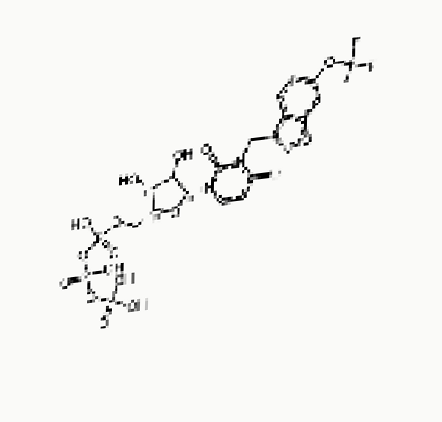 O=c1ccn([C@@H]2O[C@H](COP(=O)(O)OP(=O)(O)OP(=O)(O)O)[C@H](O)C2O)c(=O)n1Cc1noc2cc(OC(F)(F)F)ccc12